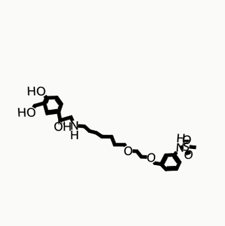 CS(=O)(=O)Nc1cccc(COCCOCCCCCCCNC[C@H](O)c2ccc(O)c(CO)c2)c1